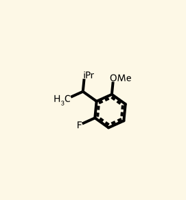 COc1cccc(F)c1C(C)C(C)C